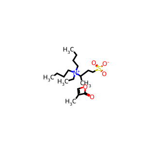 CC1=COC1=O.CCCC[N+](CC)(CCCC)C(C)CCS(=O)(=O)[O-]